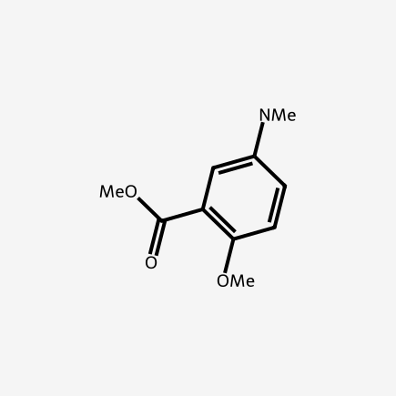 CNc1ccc(OC)c(C(=O)OC)c1